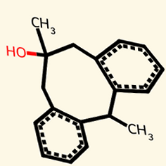 CC1c2ccccc2CC(C)(O)Cc2ccccc21